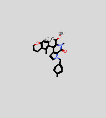 Cc1ccc(Cn2ccc3c(-c4ccc5c(c4C)CCCO5)c(C(OC(C)(C)C)C(=O)O)n(C)c(=O)c32)cc1